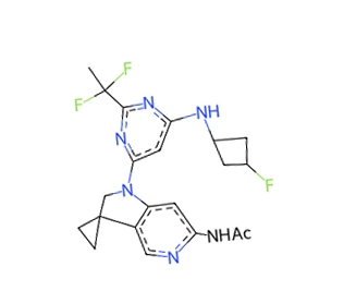 CC(=O)Nc1cc2c(cn1)C1(CC1)CN2c1cc(NC2CC(F)C2)nc(C(C)(F)F)n1